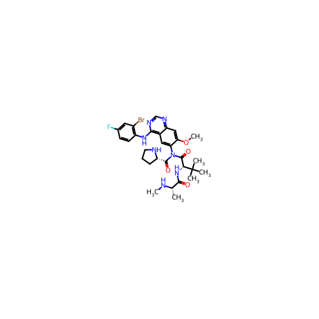 CN[C@@H](C)C(=O)N[C@H](C(=O)N(C(=O)[C@@H]1CCCN1)c1cc2c(Nc3ccc(F)cc3Br)ncnc2cc1OC)C(C)(C)C